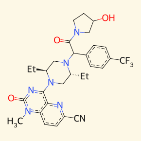 CC[C@H]1CN(C(C(=O)N2CCC(O)C2)c2ccc(C(F)(F)F)cc2)[C@H](CC)CN1c1nc(=O)n(C)c2ccc(C#N)nc12